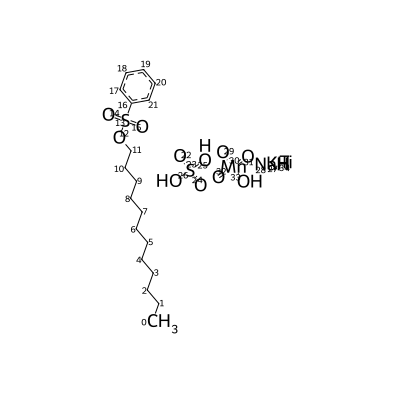 CCCCCCCCCCCCOS(=O)(=O)c1ccccc1.O=S(=O)(O)O.[KH].[NaH].[O]=[Mn](=[O])(=[O])[OH].[Ti]